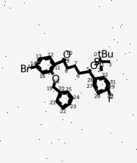 CC(C)(C)[Si](C)(C)OC(CCCC(=O)c1ccc(Br)cc1OCc1ccccc1)c1ccc(F)cc1